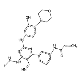 C=CC(=O)Nc1cccc(-c2nc(Nc3ccc(N4CCOCC4)c(O)c3)nc(NPI)c2C=N)c1